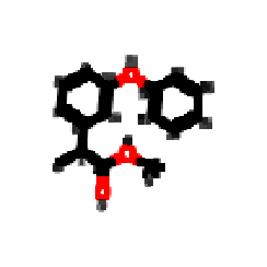 CC(C(=O)[O][Al])c1cccc(Oc2ccccc2)c1